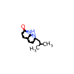 CC(C)Cc1ccc2ccc(=O)[nH]c2n1